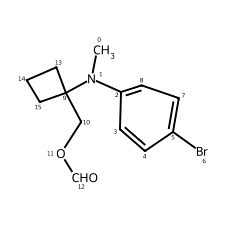 CN(c1ccc(Br)cc1)C1(COC=O)CCC1